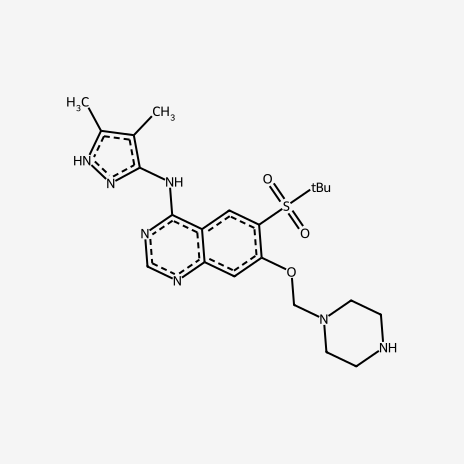 Cc1[nH]nc(Nc2ncnc3cc(OCN4CCNCC4)c(S(=O)(=O)C(C)(C)C)cc23)c1C